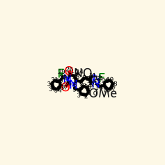 COc1ccc(Cn2c(C=Cc3cnn(Cc4ccccc4F)c3)c([N+](=O)[O-])c(=O)n(C(F)c3ccccc3)c2=O)cc1